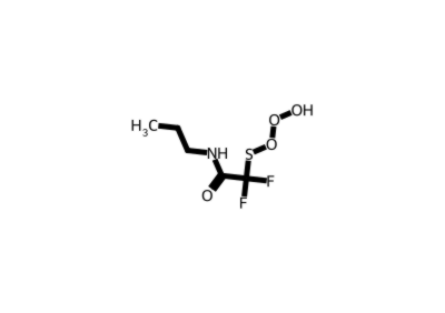 CCCNC(=O)C(F)(F)SOOO